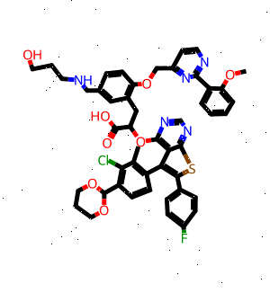 COc1ccccc1-c1nccc(COc2ccc(CNCCCO)cc2CC(Oc2ncnc3sc(-c4ccc(F)cc4)c(-c4ccc(C5OCCCO5)c(Cl)c4C)c23)C(=O)O)n1